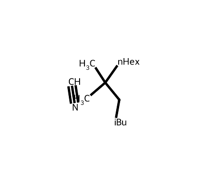 C#N.CCCCCCC(C)(C)CC(C)CC